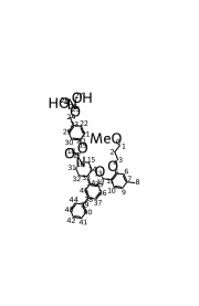 COCCCOc1cc(C)ccc1CO[C@H]1CN(C(=O)Oc2ccc(CON(O)O)cc2)CC[C@@H]1c1cccc(-c2ccccc2)c1